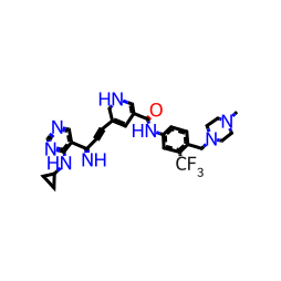 CN1CCN(Cc2ccc(NC(=O)C3=CNCC(C#CC(=N)c4cncnc4NC4CC4)=C3)cc2C(F)(F)F)CC1